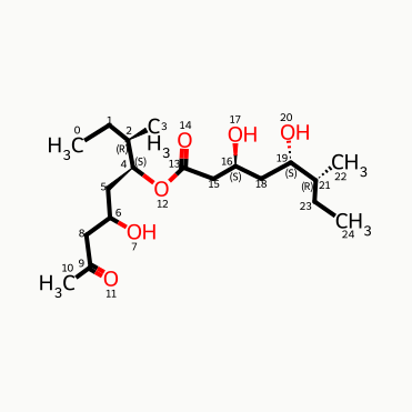 CC[C@@H](C)[C@H](CC(O)CC(C)=O)OC(=O)C[C@@H](O)C[C@H](O)[C@H](C)CC